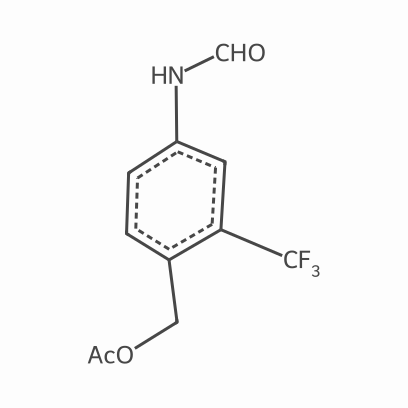 CC(=O)OCc1ccc(NC=O)cc1C(F)(F)F